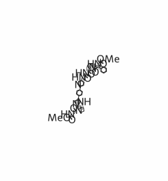 COC(=O)NCC(=O)N1CCC[C@H]1c1ncc(-c2ccc(-c3ccc(NC(=O)NC(=O)[C@@H]4CCCN4C(=O)[C@H](NC(=O)OC)c4ccccc4)cn3)cc2)[nH]1